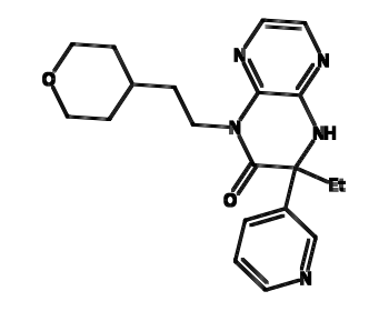 CCC1(c2cccnc2)Nc2nccnc2N(CCC2CCOCC2)C1=O